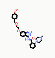 COc1ccc(COCCOc2ccc3c(NC(=O)c4ccccc4N4CCN(C)CC4)n[nH]c3c2)cc1